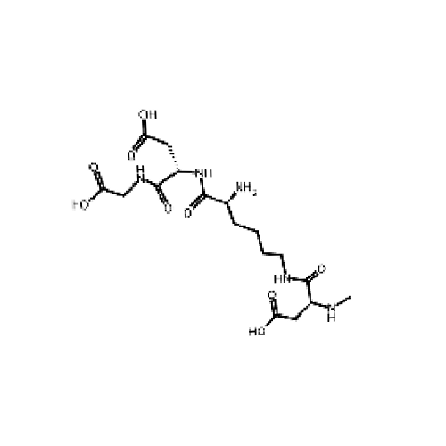 CN[C@@H](CC(=O)O)C(=O)NCCCC[C@H](N)C(=O)N[C@@H](CC(=O)O)C(=O)NCC(=O)O